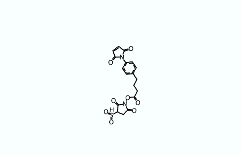 O=C(CCCc1ccc(N2C(=O)C=CC2=O)cc1)ON1C(=O)CC([SH](=O)=O)C1=O